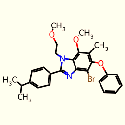 COCCn1c(-c2ccc(C(C)C)cc2)nc2c(Br)c(Oc3ccccc3)c(C)c(OC)c21